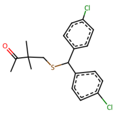 CC(=O)C(C)(C)CSC(c1ccc(Cl)cc1)c1ccc(Cl)cc1